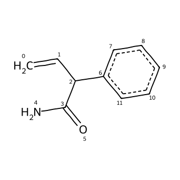 C=CC(C(N)=O)c1ccccc1